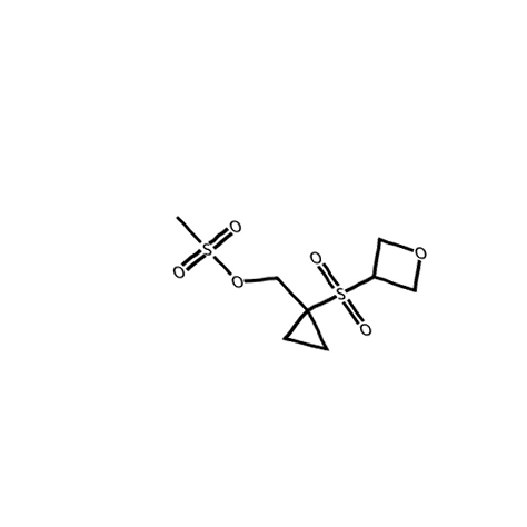 CS(=O)(=O)OCC1(S(=O)(=O)C2COC2)CC1